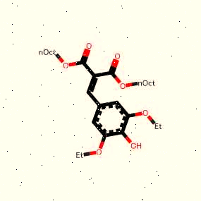 CCCCCCCCOC(=O)C(=Cc1cc(OCC)c(O)c(OCC)c1)C(=O)OCCCCCCCC